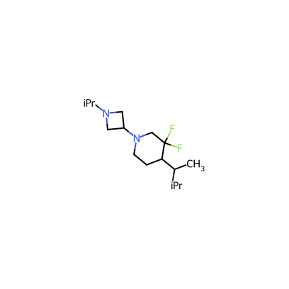 CC(C)C(C)C1CCN(C2CN(C(C)C)C2)CC1(F)F